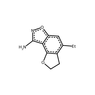 CCc1cc2onc(N)c2c2c1CCO2